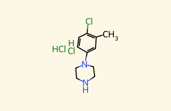 Cc1cc(N2CCNCC2)ccc1Cl.Cl.Cl